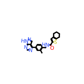 Cc1cc(-c2ncnc3[nH]ncc23)ccc1CNC(=O)c1cc2c(s1)CCCC2